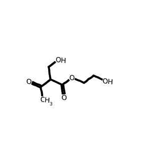 CC(=O)C(CO)C(=O)OCCO